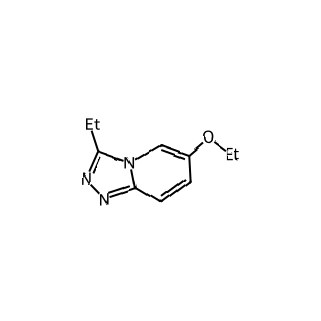 CCOc1ccc2nnc(CC)n2c1